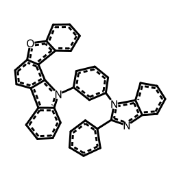 c1ccc(-c2nc3ccccc3n2-c2cccc(-n3c4ccccc4c4ccc5oc6ccccc6c5c43)c2)cc1